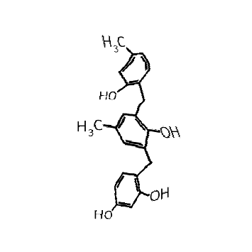 Cc1ccc(Cc2cc(C)cc(Cc3ccc(O)cc3O)c2O)c(O)c1